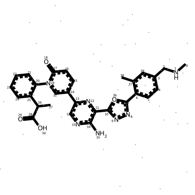 CNCc1ccc(-c2nnc(-c3nc(-c4ccc(=O)n(-c5ccccc5C(C)C(=O)O)c4)cnc3N)o2)c(C)c1